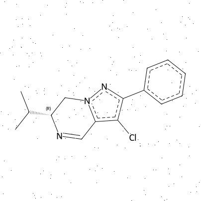 CC(C)[C@@H]1Cn2nc(-c3ccccc3)c(Cl)c2C=N1